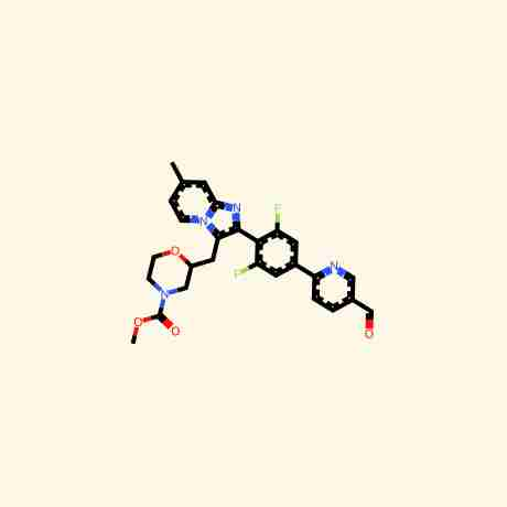 COC(=O)N1CCOC(Cc2c(-c3c(F)cc(-c4ccc(C=O)cn4)cc3F)nc3cc(C)ccn23)C1